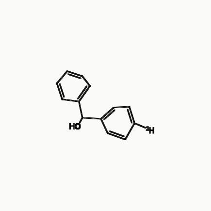 [2H]c1ccc(C(O)c2ccccc2)cc1